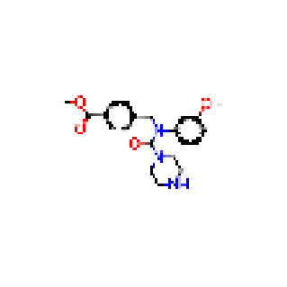 COC(=O)c1ccc(CN(C(=O)N2CCNCC2)c2cccc(OC)c2)cc1